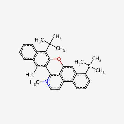 Cc1c2c(c(C(C)(C)C)c3ccccc13)Oc1cc3c([Si](C)(C)C)cccc3c3cc[n+](C)c-2c13